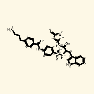 CCCCc1ccc(C(=O)Nc2ccc(S(=O)(=O)NC(Cc3c[nH]c4ccccc34)C(=O)Nc3nc(=S)ss3)cc2)cc1